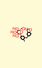 Cc1ccc([C@@H]2O[C@H](CO)[C@@H](O)[C@H](O)[C@H]2O)cc1Cc1ccc2c(c1)CCO2